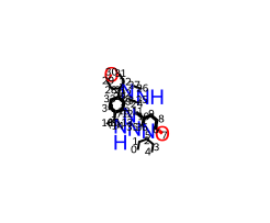 CCC(CC)n1c(=O)ccc2cnc(N[C@@H](C)c3ccc(C4(N5CCNCC5)CCOCC4)cc3)nc21